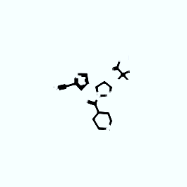 N#Cc1cc([C@@H]2CCON2C(=O)C2CCNCC2)co1.O=C(O)C(F)(F)F